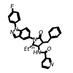 CC[C@@H]1C(NC(=O)c2cccnc2)C(Cc2ccccc2)C(=O)N1c1ccc2c(cnn2-c2ccc(F)cc2)c1